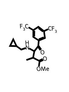 COC(=O)C(C)C(NCC1CC1)C(=O)c1cc(C(F)(F)F)cc(C(F)(F)F)c1